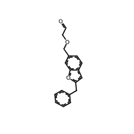 O=CCOCc1ccc2cc(Cc3ccccc3)oc2c1